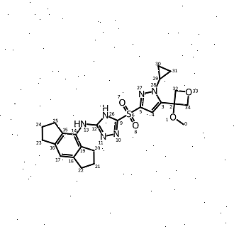 COC1(c2cc(S(=O)(=O)c3nnc(Nc4c5c(cc6c4CCC6)CCC5)[nH]3)nn2C2CC2)COC1